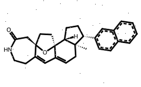 C[C@]12CC=C3C=C4CCNC(=O)C[C@]45CC[C@]3(O5)[C@@H]1CC[C@@H]2c1ccc2ccccc2c1